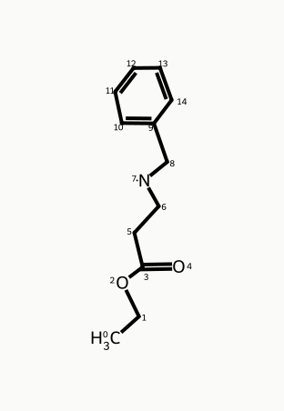 CCOC(=O)CC[N]Cc1ccccc1